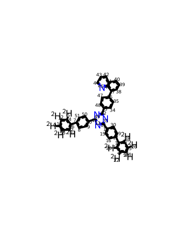 [2H]c1c([2H])c([2H])c(-c2ccc(-c3nc(-c4ccc(-c5c([2H])c([2H])c([2H])c([2H])c5[2H])cc4)nc(-c4ccc(-c5cccc6cccnc56)cc4)n3)cc2)c([2H])c1[2H]